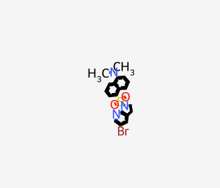 CN(C)c1cccc2c(S(=O)(=O)N3CCc4cc(Br)cnc43)cccc12